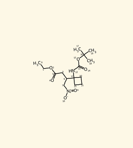 CCOC(=O)CC(C[N+](=O)[O-])C1(NC(=O)OC(C)(C)C)CCC1